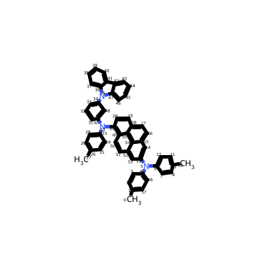 Cc1ccc(N(c2ccc(C)cc2)c2cc3ccc4ccc(N(c5ccc(C)cc5)c5cccc(-n6c7ccccc7c7ccccc76)c5)c5ccc(c2)c3c45)cc1